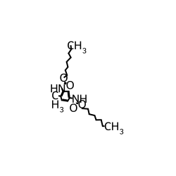 CCCCCCCCOC(=O)Nc1ccc(C)c(NC(=O)OCCCCCCCC)c1